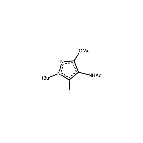 COc1nn(C(C)(C)C)c(I)c1NC(C)=O